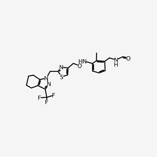 Cc1c(CNC=O)cccc1NOCc1csc(Cn2nc(C(F)(F)F)c3c2CCCC3)n1